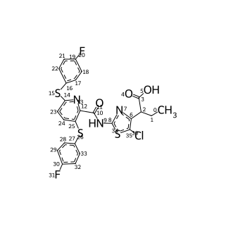 CCC(C(=O)O)c1nc(NC(=O)c2nc(Sc3ccc(F)cc3)ccc2Sc2ccc(F)cc2)sc1Cl